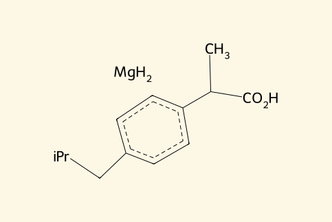 CC(C)Cc1ccc(C(C)C(=O)O)cc1.[MgH2]